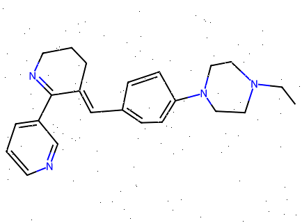 CCN1CCN(c2ccc(/C=C3\CCCN=C3c3cccnc3)cc2)CC1